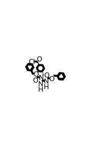 N=C(NC(=O)OCc1ccccc1)N(C[C@H]1CC[C@H](C(=O)Cl)CC1)C(=O)OCc1ccccc1